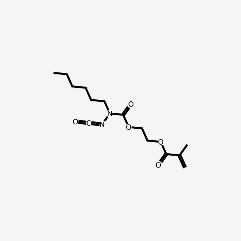 C=C(C)C(=O)OCCOC(=O)N(CCCCCC)N=C=O